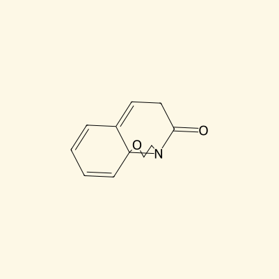 O=C1CC=C2C=CC=CC23OCCN13